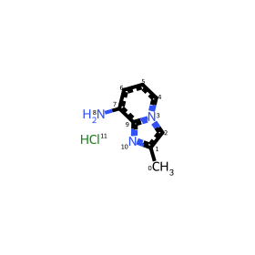 Cc1cn2cccc(N)c2n1.Cl